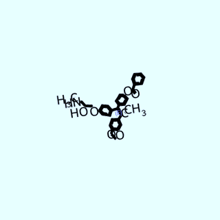 CC/C(=C(/c1ccc(OCC(O)CNC)cc1)c1ccc(OC(=O)c2ccccc2)cc1)c1ccc2c(c1)OCO2